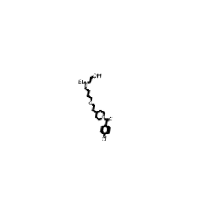 CCN(CCO)CCCCOCCC1CCN(C(=O)c2ccc(Cl)cc2)CC1